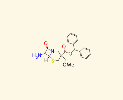 COCC1(C(=O)OC(c2ccccc2)c2ccccc2)CS[C@@H]2C(N)C(=O)N2C1